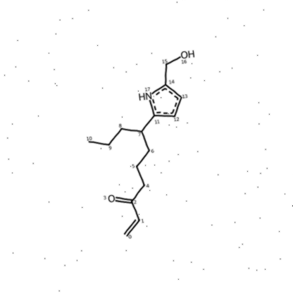 C=CC(=O)CCCC(CCC)c1ccc(CO)[nH]1